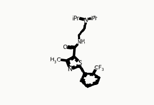 Cc1nc(-c2ccccc2C(F)(F)F)sc1C(=O)NCCN(C(C)C)C(C)C